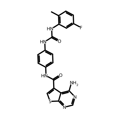 Cc1ccc(F)cc1NC(=O)Nc1ccc(NC(=O)c2csc3ncnc(N)c23)cc1